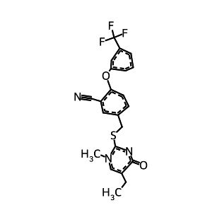 CCc1cn(C)c(SCc2ccc(Oc3cccc(C(F)(F)F)c3)c(C#N)c2)nc1=O